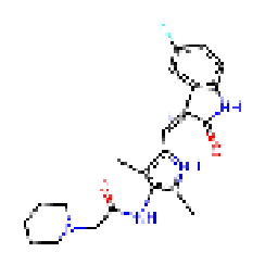 Cc1[nH]c(/C=C2\C(=O)Nc3ccc(F)cc32)c(C)c1NC(=O)CN1CCCCC1